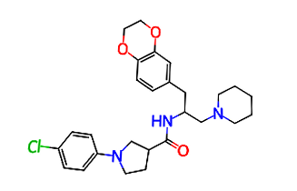 O=C(NC(Cc1ccc2c(c1)OCCO2)CN1CCCCC1)C1CCN(c2ccc(Cl)cc2)C1